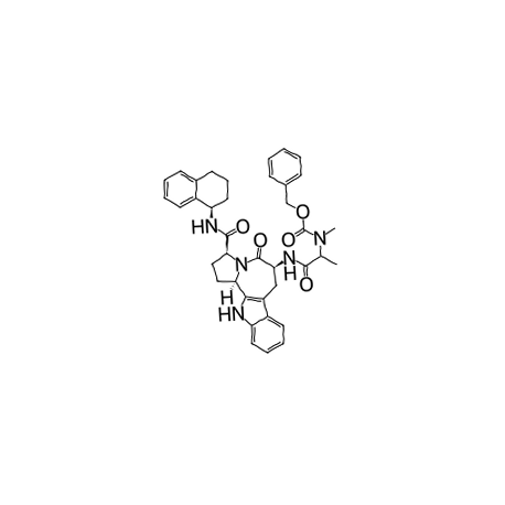 CC(C(=O)N[C@H]1Cc2c([nH]c3ccccc23)[C@H]2CC[C@@H](C(=O)N[C@@H]3CCCc4ccccc43)N2C1=O)N(C)C(=O)OCc1ccccc1